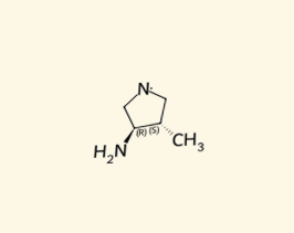 C[C@H]1C[N]C[C@@H]1N